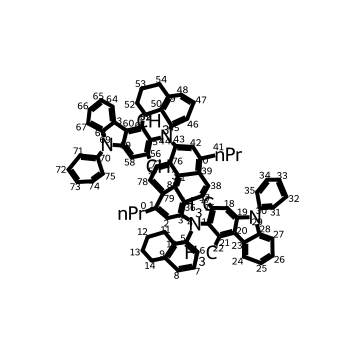 CCCc1cc(N(c2cccc3c2CCCC3)c2c(C)cc3c(c2C)c2ccccc2n3-c2ccccc2)c2ccc3c(CCC)cc(N(c4cccc5c4CCCC5)c4c(C)cc5c(c4C)c4ccccc4n5-c4ccccc4)c4ccc1c2c34